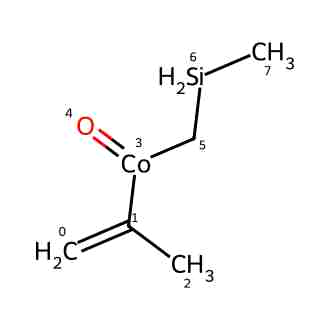 C=[C](C)[Co](=[O])[CH2][SiH2]C